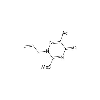 C=CCn1nc(C(C)=O)c(=O)nc1SC